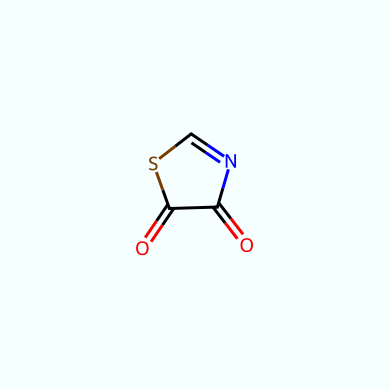 O=C1N=CSC1=O